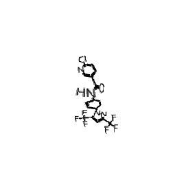 O=C(Nc1ccc(-n2nc(C(F)(F)F)cc2C(F)(F)F)cc1)c1ccc(Cl)nc1